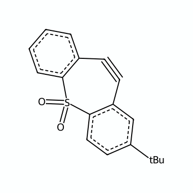 CC(C)(C)c1ccc2c(c1)C#Cc1ccccc1S2(=O)=O